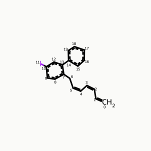 C=C/C=C\C=C/Cc1ccc(I)cc1-c1ccccc1